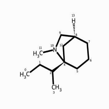 CCC(C)[C@@]12CCC[C@H](CN1C)C2